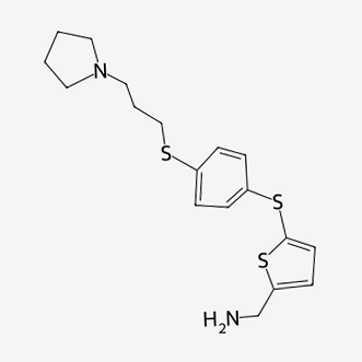 NCc1ccc(Sc2ccc(SCCCN3CCCC3)cc2)s1